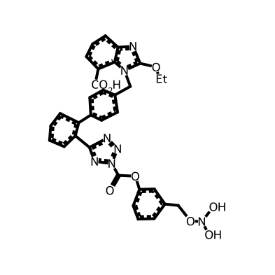 CCOc1nc2cccc(C(=O)O)c2n1Cc1ccc(-c2ccccc2-c2nnn(C(=O)Oc3cccc(CON(O)O)c3)n2)cc1